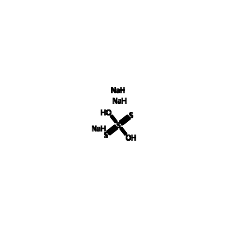 OS(O)(=S)=S.[NaH].[NaH].[NaH]